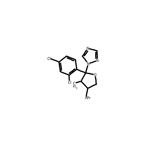 CCCC1COC(c2ccc(Cl)cc2Cl)(n2cncn2)C1C